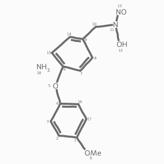 COc1ccc(Oc2ccc(CN(O)N=O)cc2)cc1.N